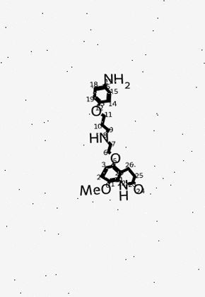 COc1ccc(OCCNCCCOc2ccc(N)cc2)c2c1NC(=O)CC2